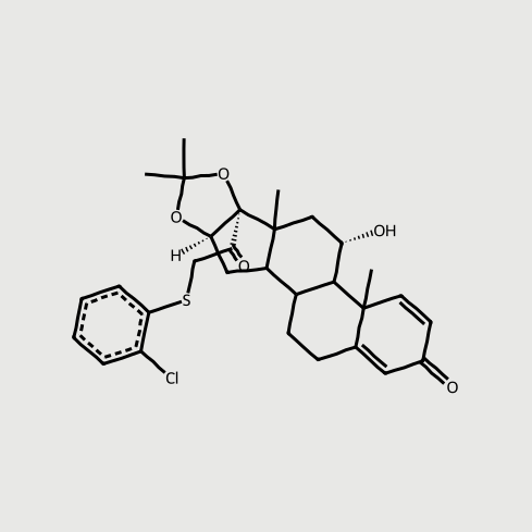 CC1(C)O[C@@H]2CC3C4CCC5=CC(=O)C=CC5(C)C4[C@@H](O)CC3(C)[C@]2(C(=O)CSc2ccccc2Cl)O1